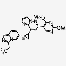 COc1ncc(-c2cc(C3C[C@@H]3c3ccc4cnc(CC(F)(F)F)n4c3)c3nccn3n2)c(OC)n1